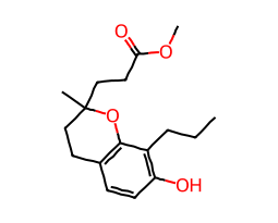 CCCc1c(O)ccc2c1OC(C)(CCC(=O)OC)CC2